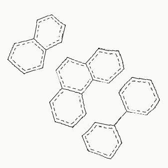 c1ccc(-c2ccccc2)cc1.c1ccc2c(c1)ccc1ccccc12.c1ccc2ccccc2c1